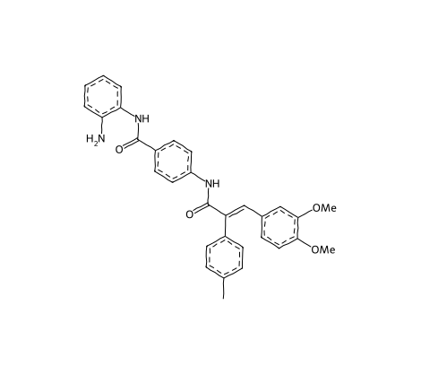 COc1ccc(/C=C(/C(=O)Nc2ccc(C(=O)Nc3ccccc3N)cc2)c2ccc(C)cc2)cc1OC